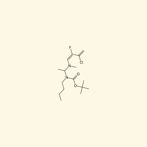 C=C(Cl)/C(F)=C\N(C)C(C)N(CCCC)C(=O)OC(C)(C)C